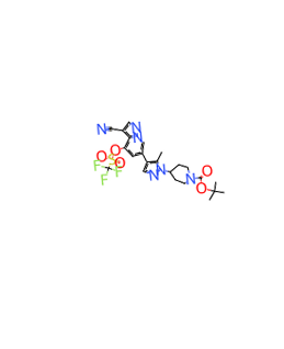 Cc1c(-c2cc(OS(=O)(=O)C(F)(F)F)c3c(C#N)cnn3c2)cnn1C1CCN(C(=O)OC(C)(C)C)CC1